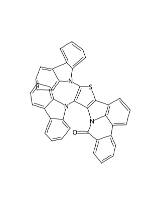 O=c1c2ccccc2c2cccc3c4sc(-n5c6ccccc6c6ccccc65)c(-n5c6ccccc6c6ccccc65)c4n1c23